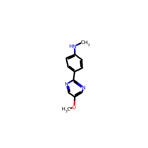 CNc1ccc(-c2ncc(OC)cn2)cc1